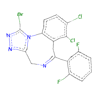 Fc1cccc(F)c1C1=NCc2nnc(Br)n2-c2ccc(Cl)c(Cl)c21